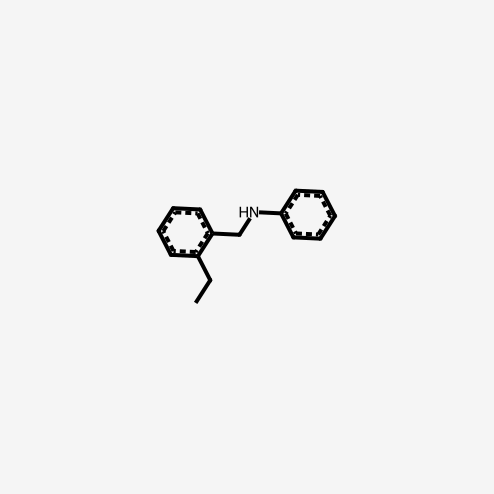 CCc1ccccc1CNc1ccccc1